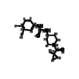 Cc1ccc(NC(=O)NC2CCN(C(=O)C3(C)CC3)CC2)cc1F